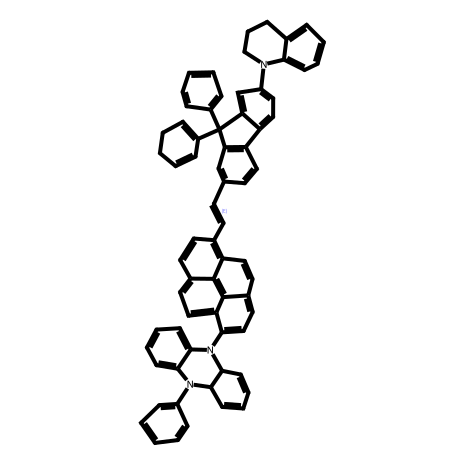 C1=CC2C(C=C1)N(c1ccc3ccc4c(/C=C/c5ccc6c(c5)C(C5=CCCC=C5)(c5ccccc5)c5cc(N7CCCc8ccccc87)ccc5-6)ccc5ccc1c3c54)c1ccccc1N2c1ccccc1